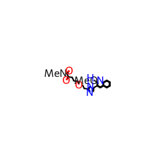 CNC(=O)C(=O)CCCOCCc1ncc(-c2cc3ccccc3nc2OC)[nH]1